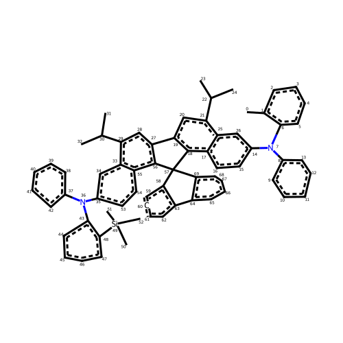 Cc1ccccc1N(c1ccccc1)c1ccc2c3c(cc(C(C)C)c2c1)-c1cc(C(C)C)c2cc(N(c4ccccc4)c4ccccc4[Si](C)(C)C)ccc2c1C31c2ccccc2-c2ccccc21